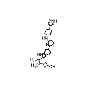 C=C(c1cc2ccc(-c3nccc(NC4C=CC(c5cn[nH]c5)=CC4)n3)cc2[nH]1)N(C)C1CC(O)C1